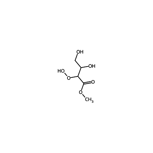 COC(=O)C(OO)C(O)CO